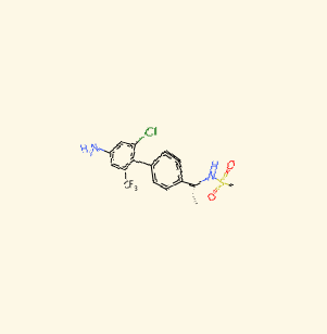 C[C@@H](NS(C)(=O)=O)c1ccc(-c2c(Cl)cc(N)cc2C(F)(F)F)cc1